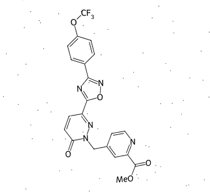 COC(=O)c1cc(Cn2nc(-c3nc(-c4ccc(OC(F)(F)F)cc4)no3)ccc2=O)ccn1